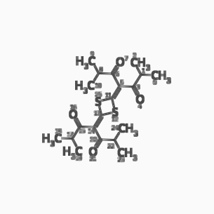 CC(C)C(=O)C(C(=O)C(C)C)=c1sc(=C(C(=O)C(C)C)C(=O)C(C)C)s1